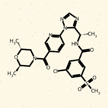 C[C@@H]1CN(C(=O)c2ccc(-n3ncnc3[C@H](C)NC(=O)c3cc(Cl)cc(S(C)(=O)=O)c3)nc2)C[C@@H](C)O1